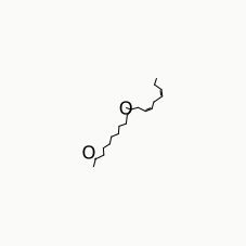 CC/C=C\C/C=C\CC1OC1CCCCCCCC(C)=O